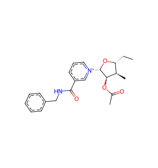 CC[C@H]1O[C@@H]([n+]2cccc(C(=O)NCc3ccccc3)c2)[C@H](OC(C)=O)[C@@H]1C